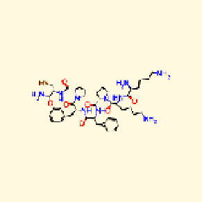 NCCCC[C@H](NC(=O)[C@@H](N)CCCCN)C(=O)N1CCC[C@H]1C(=O)N[C@@H](Cc1ccccc1)C(=O)N[C@@H](Cc1ccccc1)C(=O)N1CCC[C@H]1C(=O)N[C@@H](CS)C(N)=O